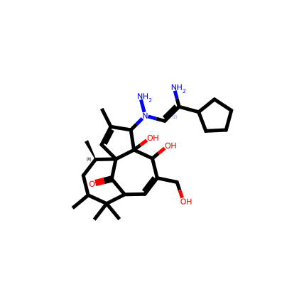 CC1=CC23C(=O)C(C=C(CO)C(O)C2(O)C1N(N)/C=C(\N)C1CCCC1)C(C)(C)C(C)C[C@H]3C